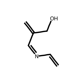 C=C/N=C\C(=C)CO